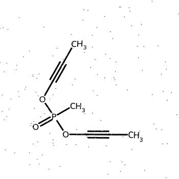 CC#COP(C)(=O)OC#CC